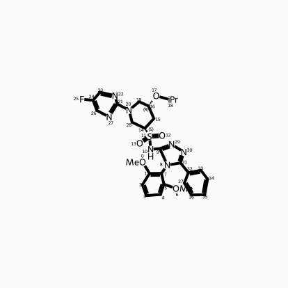 COc1cccc(OC)c1-n1c(NS(=O)(=O)[C@H]2C[C@@H](OC(C)C)CN(c3ncc(F)cn3)C2)nnc1-c1ccccc1